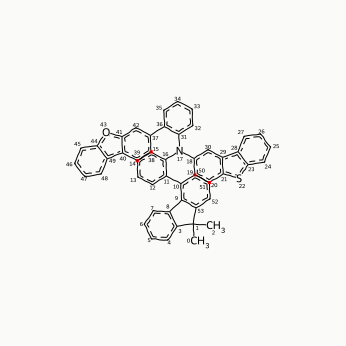 CC1(C)c2ccccc2-c2c(-c3ccccc3N(c3ccc4sc5ccccc5c4c3)c3ccccc3-c3ccc4c(c3)oc3ccccc34)cccc21